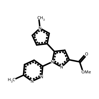 COC(=O)c1cc(-c2ccn(C)c2)n(-c2ccc(C)nn2)n1